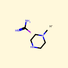 CN1CCNCC1.N=C(N)I.[H+]